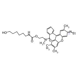 CC/N=c1\cc2oc3cc(C)c(C)cc3c(-c3ccccc3C(=O)N(C)CCOC(=O)NCCCCCCO)c-2cc1C